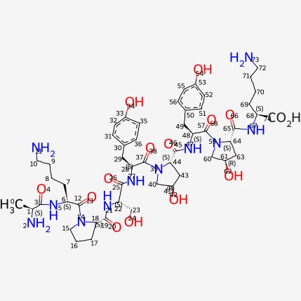 C[C@H](N)C(=O)N[C@@H](CCCCN)C(=O)N1CCC[C@H]1C(=O)N[C@@H](CO)C(=O)N[C@@H](Cc1ccc(O)cc1)C(=O)N1C[C@H](O)C[C@H]1C(=O)N[C@@H](Cc1ccc(O)cc1)C(=O)N1C[C@H](O)C[C@H]1C(=O)N[C@@H](CCCCN)C(=O)O